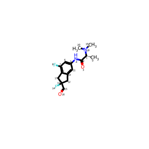 C[C@H](C(=O)Nc1cc(F)c2c(c1)CC(F)(C=O)C2)N(C)C